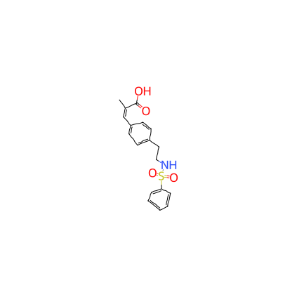 CC(=Cc1ccc(CCNS(=O)(=O)c2ccccc2)cc1)C(=O)O